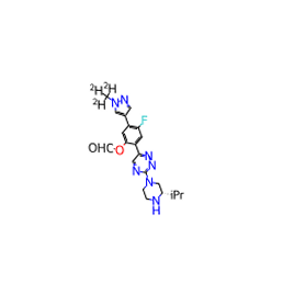 [2H]C([2H])([2H])n1cc(-c2cc(OC=O)c(-c3cnc(N4CCN[C@@H](C(C)C)C4)nn3)cc2F)cn1